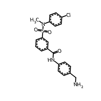 CN(c1ccc(Cl)cc1)S(=O)(=O)c1cccc(C(=O)Nc2ccc(CN)cc2)c1